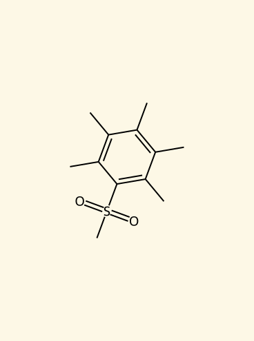 Cc1c(C)c(C)c(S(C)(=O)=O)c(C)c1C